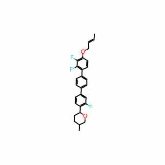 C/C=C/COc1ccc(-c2ccc(-c3ccc(C4CCC(C)CO4)c(F)c3)cc2)c(F)c1F